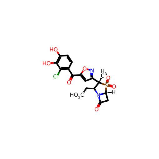 C[C@]1(c2cc(C(=O)c3ccc(O)c(O)c3Cl)on2)[C@H](CC(=O)O)N2C(=O)C[C@H]2S1(=O)=O